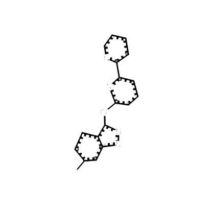 Fc1ccc2c(Nc3cccc(-c4ccccn4)n3)n[nH]c2c1